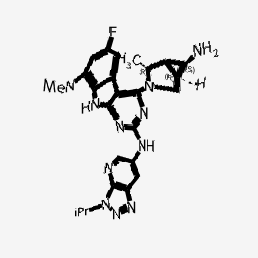 CNc1cc(F)cc2c1[nH]c1nc(Nc3cnc4c(c3)nnn4C(C)C)nc(N3C[C@H]4C([C@H]4N)[C@H]3C)c12